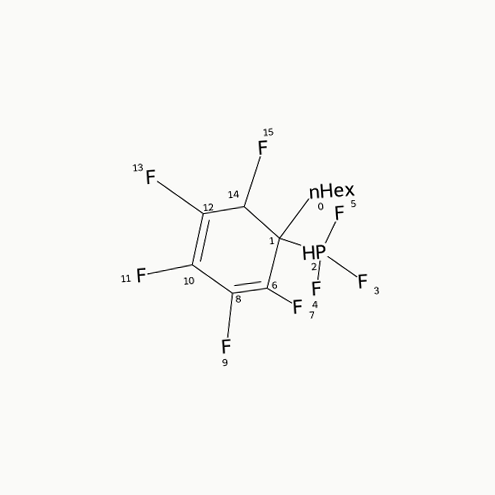 CCCCCCC1([PH](F)(F)F)C(F)=C(F)C(F)=C(F)C1F